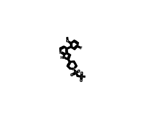 COc1ccc(F)cc1-c1ccnc2[nH]c(C3=CCN(S(=O)(=O)CS(C)(=O)=O)CC3)cc12